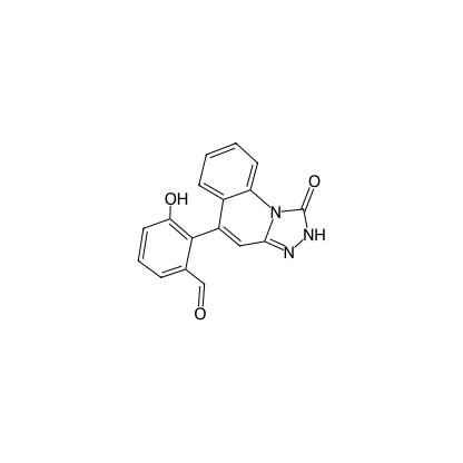 O=Cc1cccc(O)c1-c1cc2n[nH]c(=O)n2c2ccccc12